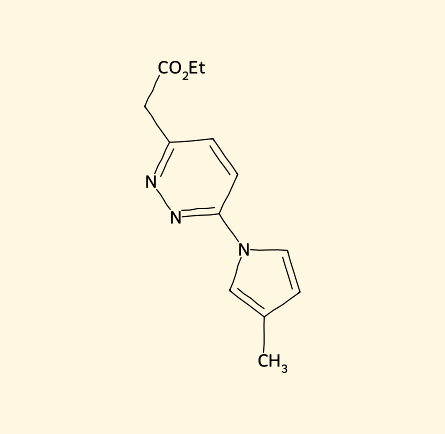 CCOC(=O)Cc1ccc(-n2ccc(C)c2)nn1